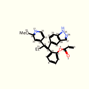 C=CC(=O)Oc1ccccc1/C(=C(\CC)c1ccnc(OC)c1)c1ccc2[nH]ncc2c1